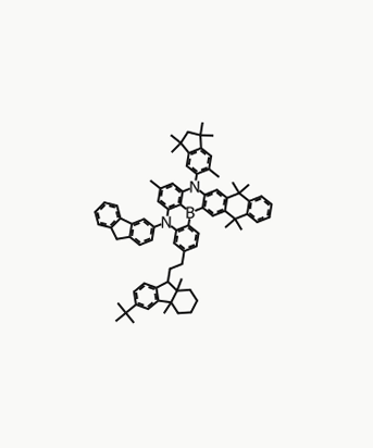 Cc1cc2c3c(c1)N(c1cc4c(cc1C)C(C)(C)CC4(C)C)c1cc4c(cc1B3c1ccc(CCC3c5ccc(C(C)(C)C)cc5C5(C)CCCCC35C)cc1N2c1ccc2c(c1)-c1ccccc1C2)C(C)(C)c1ccccc1C4(C)C